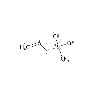 C=CC[Si](C)(C)[O]